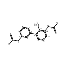 C=C(C)Cc1cccc(-c2cccc(CC(=C)C)c2O)c1